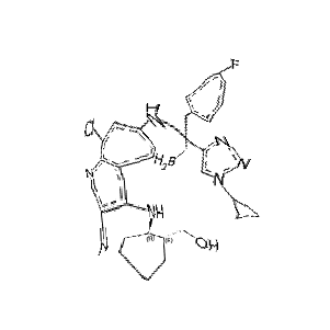 BC(Nc1cc(Cl)c2ncc(C#N)c(N[C@@H]3CCCC[C@H]3CO)c2c1)(c1ccc(F)cc1)c1cn(C2CC2)nn1